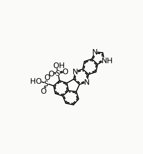 O=S(=O)(O)c1cc2cccc3c2c(c1S(=O)(=O)O)-c1nc2cc4nc[nH]c4cc2nc1-3